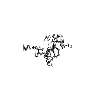 CCOCN(c1cccc(-c2cn(C)c3ncnc(N)c23)c1F)S(=O)(=O)c1ccc(OC)c(Cl)c1